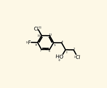 OC(CCl)Cc1ccc(F)c(Cl)c1